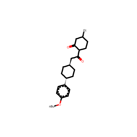 CCCCOc1ccc([C@H]2CC[C@H](CC(=O)C3CCC(CC)CC3=O)CC2)cc1